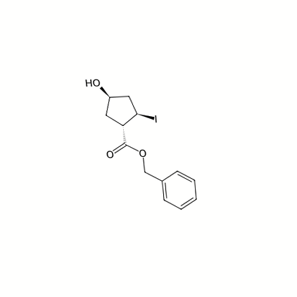 O=C(OCc1ccccc1)[C@@H]1C[C@@H](O)C[C@H]1I